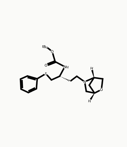 CC(C)(C)OC(=O)N[C@H](CCN1C[C@@H]2C[C@H]1CO2)CSc1ccccc1